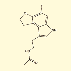 CC(=O)NCCc1c[nH]c2cc(F)c3c(c12)CCO3